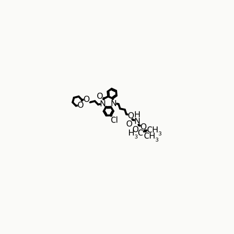 CC(C)(C)OC(=O)NC(=O)OCCCCN1c2ccccc2C(=O)N(CCCOC2CCCCO2)c2ccc(Cl)cc21